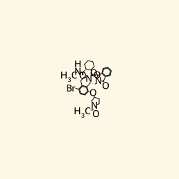 CNC(=O)[C@H]1CCCC[C@H]1C(=O)N1CCc2c(Br)ccc(O[C@H]3CCN(C(C)=O)C3)c2[C@H]1CN1C(=O)c2ccccc2C1=O